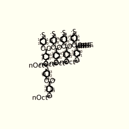 CCCCCCCCOc1ccc(C(=O)Oc2ccc([S])cc2)cc1.CCCCCCCCOc1ccc(C(=O)Oc2ccc([S])cc2)cc1.CCCCCCCCOc1ccc(C(=O)Oc2ccc([S])cc2)cc1.CCCCCCCCOc1ccc(C(=O)Oc2ccc([S])cc2)cc1.CCCCCCCCOc1ccc(C(=O)Oc2ccc([S])cc2)cc1.F.F.F.F.F